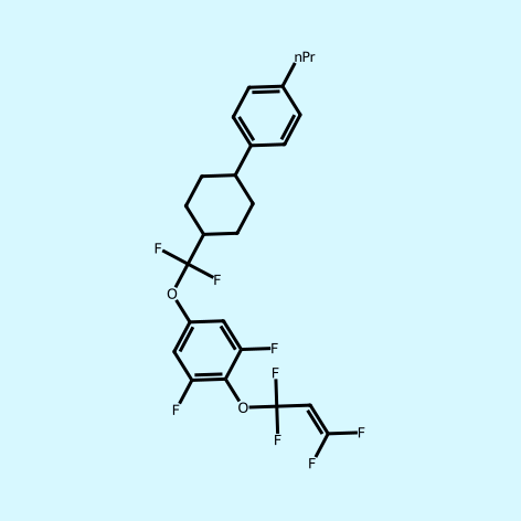 CCCc1ccc(C2CCC(C(F)(F)Oc3cc(F)c(OC(F)(F)C=C(F)F)c(F)c3)CC2)cc1